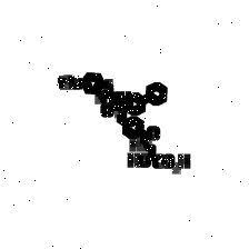 CC(C)(C)c1ccc2sc(NC(=O)N(Cc3ccc(C(=O)NC[C@@H](O)C(=O)O)cc3)c3ccc(C4=CCCCC4)cc3)nc2c1